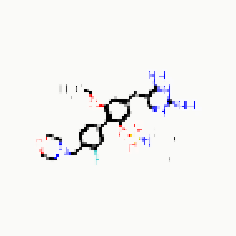 CCOc1cc(Cc2cnc(N)nc2N)cc(OS(=O)(=O)N(C)C)c1-c1ccc(CN2CCOCC2)c(F)c1